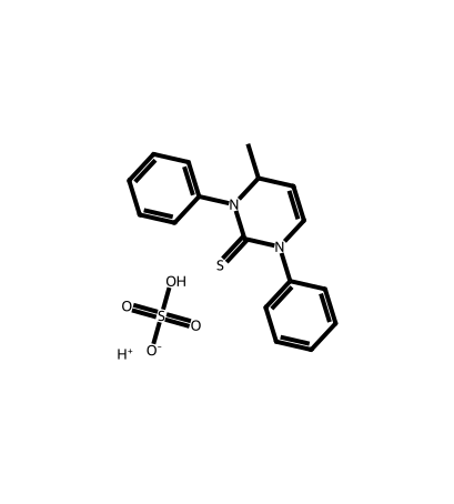 CC1C=CN(c2ccccc2)C(=S)N1c1ccccc1.O=S(=O)([O-])O.[H+]